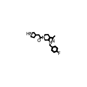 Cc1nn(Cc2ccc(F)cc2)c2c1CCN(C(=O)CC1CCNC1)C2